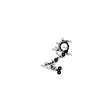 COc1cc2cc(c1-c1ccc(NC(=O)OCc3ccc(NC(=O)[C@H](CCCNC(N)=O)NC(=O)[C@@H](NC(=O)OCC4c5ccccc5-c5ccccc54)C(C)C)cc3)cc1)N(C)C(=O)C[C@H](OC(=O)C(C)C)[C@]1(C)O[C@H]1[C@H](C)[C@@H]1C[C@@](O)(NC(=O)O1)[C@H](OC)/C=C/C=C(\C)C2